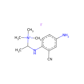 CC(Nc1ccc(N)cc1C#N)[N+](C)(C)C.[I-]